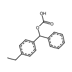 CCc1ccc(C(OC(=O)O)c2ccccc2)cc1